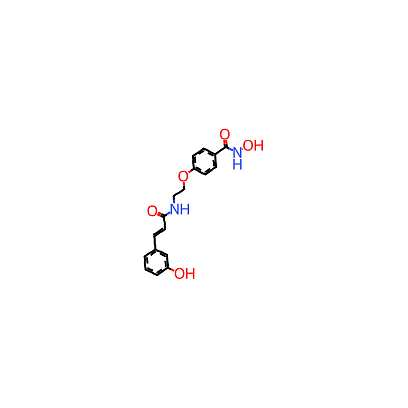 O=C(C=Cc1cccc(O)c1)NCCOc1ccc(C(=O)NO)cc1